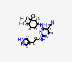 CC1(C)C[C@H](Nc2nc(NCCc3cn[nH]c3)ncc2C#N)CC[C@@H]1O